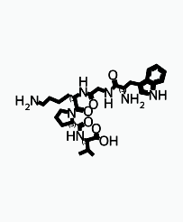 CC(C)[C@H](NC(=O)[C@@H]1CCCN1C(=O)[C@H](CCCCN)NC(=O)CNC(=O)[C@@H](N)Cc1c[nH]c2ccccc12)C(=O)O